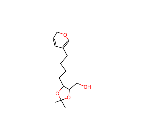 CC1(C)OC(CO)C(CCCCC2=COCC=C2)O1